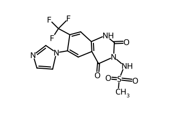 CS(=O)(=O)Nn1c(=O)[nH]c2cc(C(F)(F)F)c(-n3ccnc3)cc2c1=O